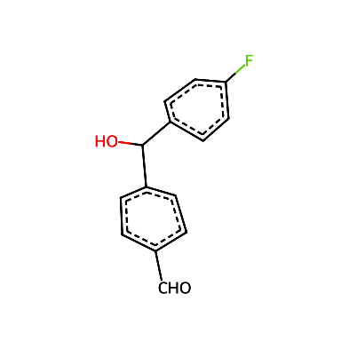 O=Cc1ccc(C(O)c2ccc(F)cc2)cc1